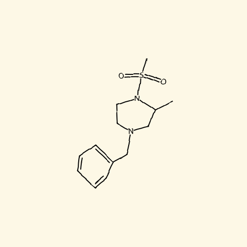 CC1CN(Cc2ccccc2)CCN1S(C)(=O)=O